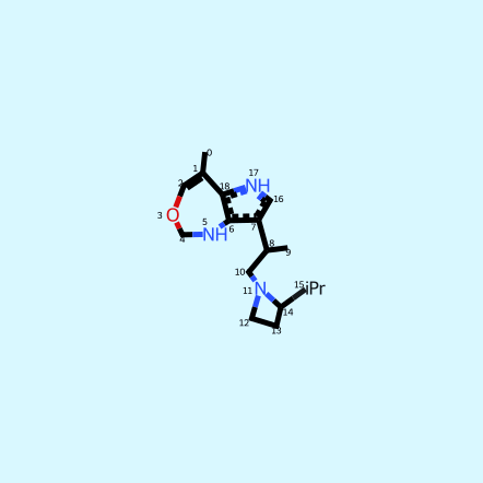 CC1=COCNc2c(C(C)CN3CCC3C(C)C)c[nH]c21